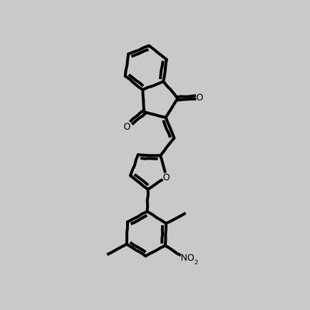 Cc1cc(-c2ccc(C=C3C(=O)c4ccccc4C3=O)o2)c(C)c([N+](=O)[O-])c1